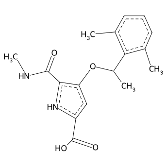 CNC(=O)c1[nH]c(C(=O)O)cc1OC(C)c1c(C)cccc1C